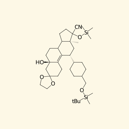 CC(C)(C)[Si](C)(C)OCC1CCC([C@H]2C[C@@]3(C)C(CCC3(C#N)O[Si](C)(C)C)C3CC[C@@]4(O)CC5(CCC4=C32)OCCO5)CC1